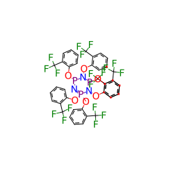 FC(F)(F)c1ccccc1ON1P(Oc2ccccc2C(F)(F)F)N=P(Oc2ccccc2C(F)(F)F)(Oc2ccccc2C(F)(F)F)N(Oc2ccccc2C(F)(F)F)P1Oc1ccccc1C(F)(F)F